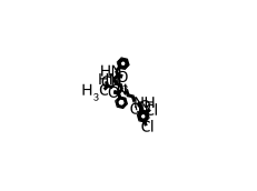 CC(C)C[C@H](CN(CCCCNS(=O)(=O)c1ccc(Cl)cc1Cl)C(=O)C1CCCCC1)NC(=O)Nc1ccccc1